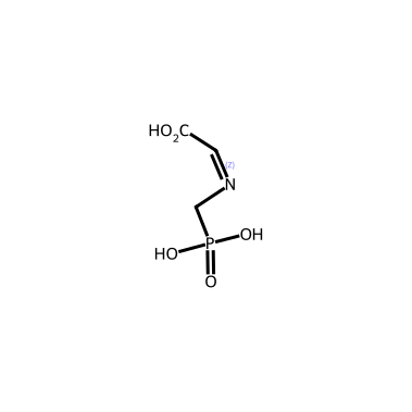 O=C(O)/C=N\CP(=O)(O)O